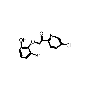 O=C(COc1c(O)cccc1Br)c1ccc(Cl)cn1